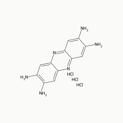 Cl.Cl.Cl.Nc1cc2nc3cc(N)c(N)cc3nc2cc1N